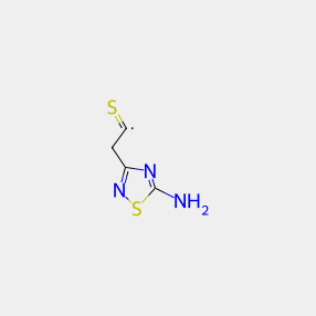 Nc1nc(C[C]=S)ns1